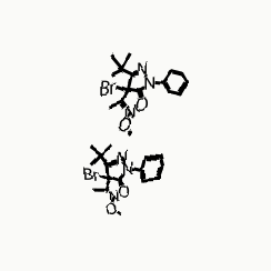 CON=C(C)C1(Br)C(=O)N(c2ccccc2)N=C1C(C)(C)C.CON=C(C)C1(Br)C(=O)N(c2ccccc2)N=C1C(C)(C)C